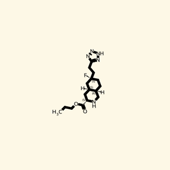 CCCOC(=O)[C@@H]1C[C@H]2C[C@@](F)(CCc3nn[nH]n3)CC[C@H]2CN1